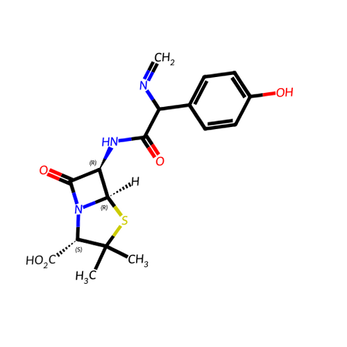 C=NC(C(=O)N[C@@H]1C(=O)N2[C@@H]1SC(C)(C)[C@@H]2C(=O)O)c1ccc(O)cc1